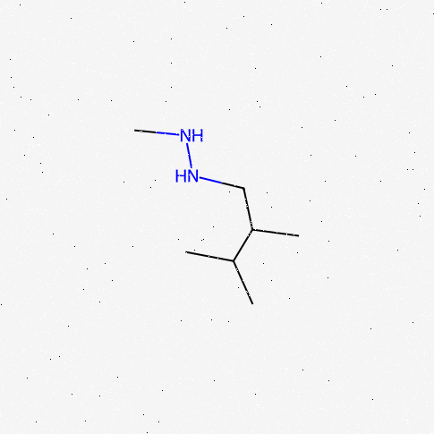 CNNCC(C)C(C)C